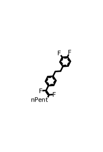 CCCCC/C(F)=C(\F)c1ccc(CCc2ccc(F)c(F)c2)cc1